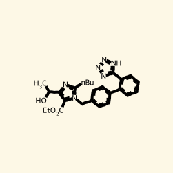 CCCCc1nc(C(C)O)c(C(=O)OCC)n1Cc1ccc(-c2ccccc2-c2nnn[nH]2)cc1